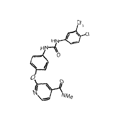 CNC(=O)c1ccnc(Oc2ccc(NC(=O)Nc3ccc(Cl)c(C(F)(F)F)c3)cc2)c1